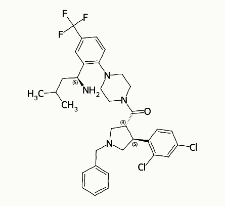 CC(C)C[C@H](N)c1cc(C(F)(F)F)ccc1N1CCN(C(=O)[C@H]2CN(Cc3ccccc3)C[C@@H]2c2ccc(Cl)cc2Cl)CC1